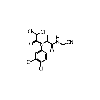 CC(C(=O)NCC#N)N(C(=O)C(Cl)Cl)c1ccc(Cl)c(Cl)c1